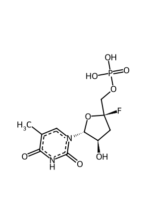 Cc1cn([C@@H]2O[C@](F)(COP(=O)(O)O)C[C@H]2O)c(=O)[nH]c1=O